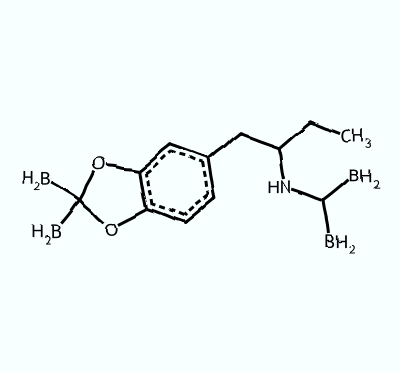 BC(B)NC(CC)Cc1ccc2c(c1)OC(B)(B)O2